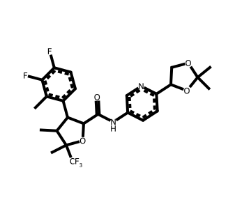 Cc1c(C2C(C(=O)Nc3ccc(C4COC(C)(C)O4)nc3)OC(C)(C(F)(F)F)C2C)ccc(F)c1F